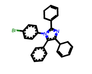 Brc1ccc(-n2c(C3=CC=CCC3)nc(C3C=CC=CC3)c2-c2ccccc2)cc1